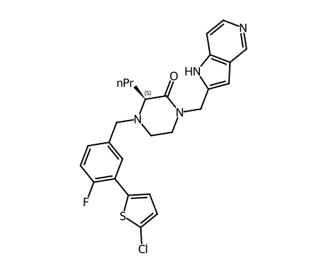 CCC[C@H]1C(=O)N(Cc2cc3cnccc3[nH]2)CCN1Cc1ccc(F)c(-c2ccc(Cl)s2)c1